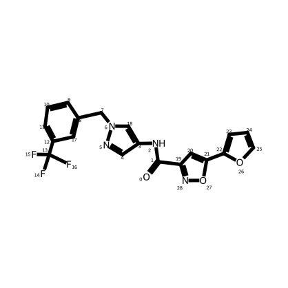 O=C(Nc1cnn(Cc2cccc(C(F)(F)F)c2)c1)c1cc(-c2ccco2)on1